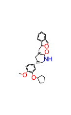 COc1ccc([C@H]2CNC(=O)[C@@H](Cc3occ4ccccc34)C2)cc1OC1CCCC1